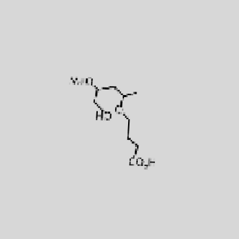 COC(CO)CC(C)OCCCC(=O)O